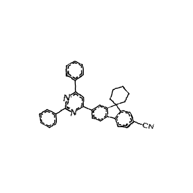 N#Cc1ccc2c(c1)C1(CCCCC1)c1cc(-c3cc(-c4ccccc4)nc(-c4ccccc4)n3)ccc1-2